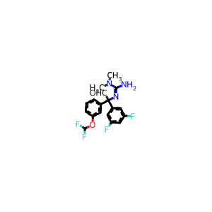 CN(C)/C(N)=N\C(C=O)(c1cc(F)cc(F)c1)c1cccc(OC(F)F)c1